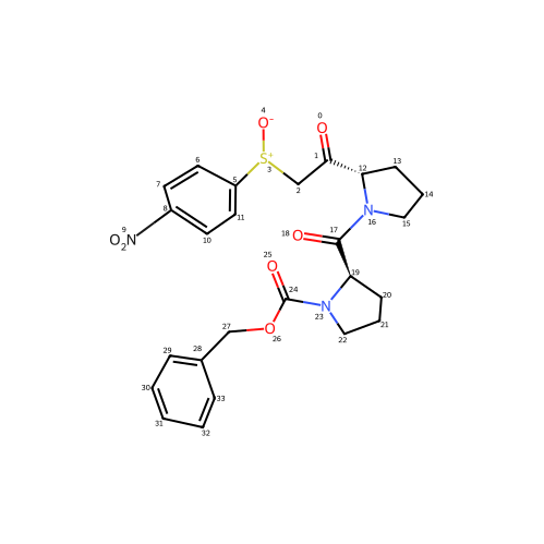 O=C(C[S+]([O-])c1ccc([N+](=O)[O-])cc1)[C@@H]1CCCN1C(=O)[C@H]1CCCN1C(=O)OCc1ccccc1